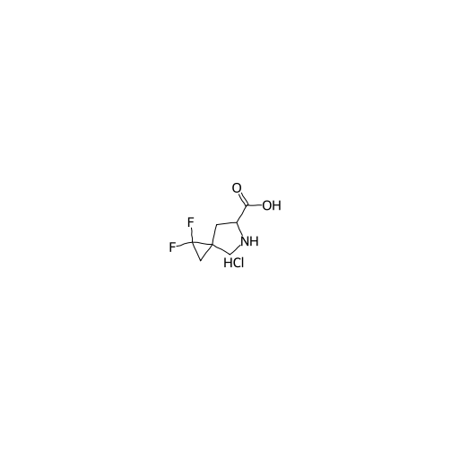 Cl.O=C(O)C1CC2(CN1)CC2(F)F